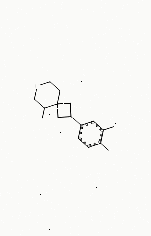 CC1CNCCC12CC(c1ccc(F)c(Cl)c1)C2